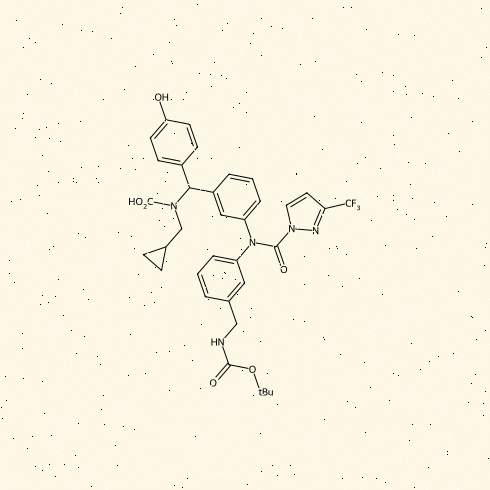 CC(C)(C)OC(=O)NCc1cccc(N(C(=O)n2ccc(C(F)(F)F)n2)c2cccc(C(c3ccc(O)cc3)N(CC3CC3)C(=O)O)c2)c1